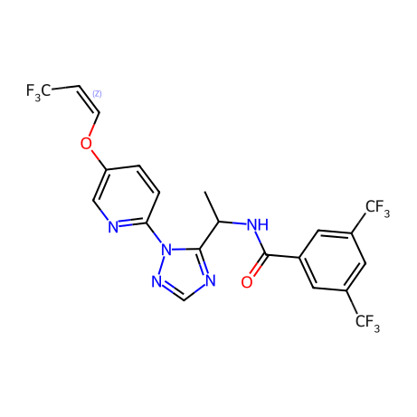 CC(NC(=O)c1cc(C(F)(F)F)cc(C(F)(F)F)c1)c1ncnn1-c1ccc(O/C=C\C(F)(F)F)cn1